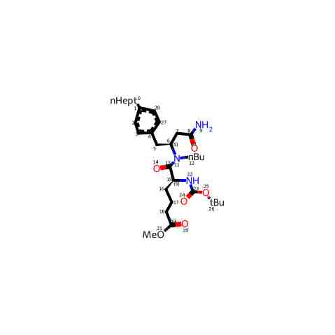 CCCCCCCc1ccc(C[C@@H](CC(N)=O)N(CCCC)C(=O)[C@H](CCCC(=O)OC)NC(=O)OC(C)(C)C)cc1